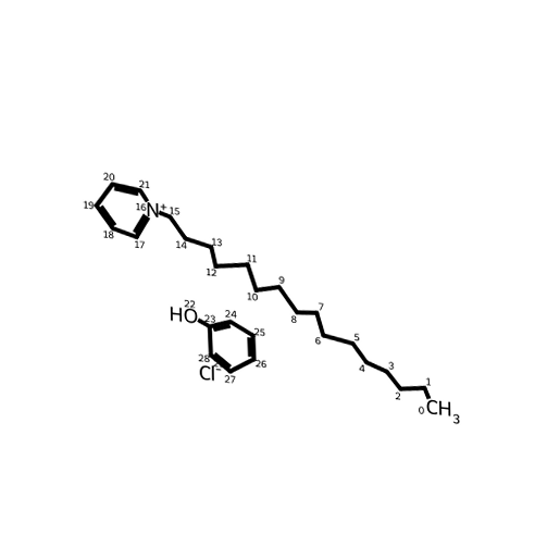 CCCCCCCCCCCCCCCC[n+]1ccccc1.Oc1ccccc1.[Cl-]